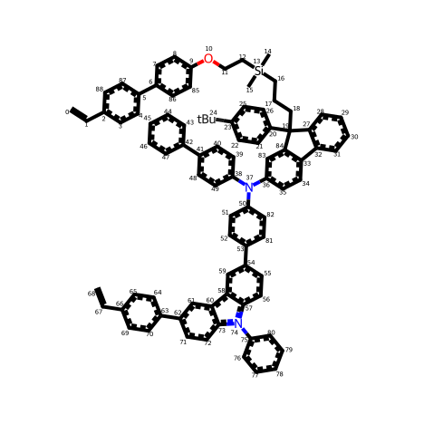 C=Cc1ccc(-c2ccc(OCC[Si](C)(C)CCCC3(c4ccc(C(C)(C)C)cc4)c4ccccc4-c4ccc(N(c5ccc(-c6ccccc6)cc5)c5ccc(-c6ccc7c(c6)c6cc(-c8ccc(C=C)cc8)ccc6n7-c6ccccc6)cc5)cc43)cc2)cc1